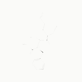 C=CCCC(CC(C)C)C(=O)N(C(=O)O)[C@@H](Cc1ccccc1)C(=O)OC